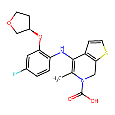 CC1=C(Nc2ccc(F)cc2O[C@@H]2CCOC2)c2ccsc2CN1C(=O)O